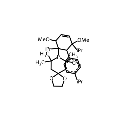 COC1C=CC(OC)(C(C)C)C(c2ccc(C(C)C)cc2)C1(C(C)C)P1C(C)(C)CC2(CC1(C)C)OCCO2